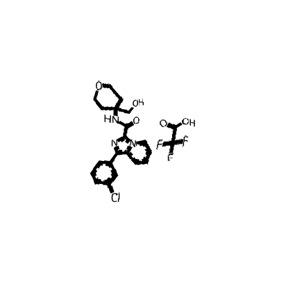 O=C(NC1(CO)CCOCC1)c1nc(-c2cccc(Cl)c2)c2ccccn12.O=C(O)C(F)(F)F